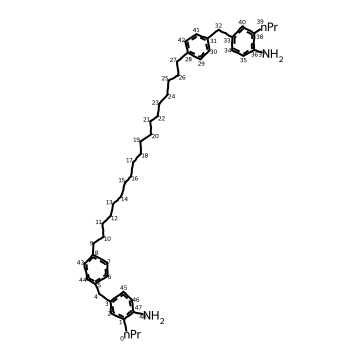 CCCc1cc(Cc2ccc(CCCCCCCCCCCCCCCCCCCc3ccc(Cc4ccc(N)c(CCC)c4)cc3)cc2)ccc1N